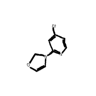 CCc1ccnc(N2C=[C]OC2)c1